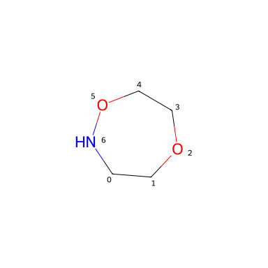 C1COCCON1